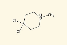 C[SiH]1CC[Si](Cl)(Cl)CC1